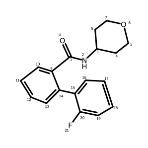 O=C(NC1CCOCC1)c1ccccc1-c1ccccc1F